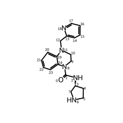 O=C(N[C@H]1CCNC1)N1CCN(Cc2ccccn2)c2ccccc21